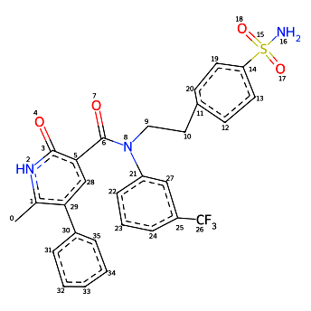 Cc1[nH]c(=O)c(C(=O)N(CCc2ccc(S(N)(=O)=O)cc2)c2cccc(C(F)(F)F)c2)cc1-c1ccccc1